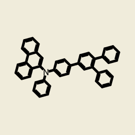 c1ccc(-c2ccc(-c3ccc(N(c4ccccc4)c4cc5ccccc5c5ccccc45)cc3)cc2-c2ccccc2)cc1